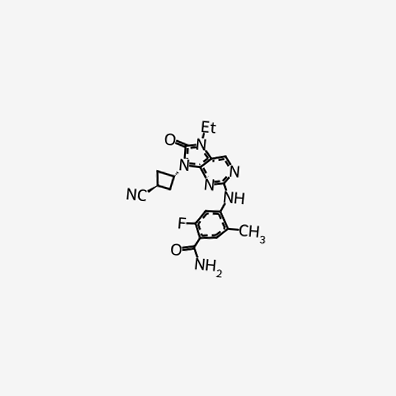 CCn1c(=O)n([C@H]2C[C@H](C#N)C2)c2nc(Nc3cc(F)c(C(N)=O)cc3C)ncc21